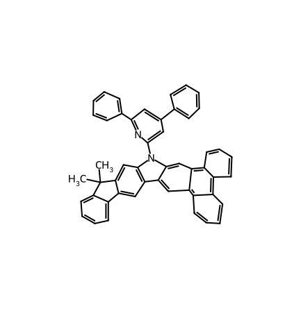 CC1(C)c2ccccc2-c2cc3c4cc5c6ccccc6c6ccccc6c5cc4n(-c4cc(-c5ccccc5)cc(-c5ccccc5)n4)c3cc21